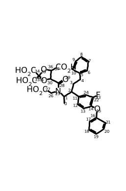 CC(C(CCc1ccccc1)c1ccc(Oc2ccccc2)c(F)c1)N(CC(=O)O)C(=O)C1OC(C(=O)O)(C(=O)O)OC1C(=O)O